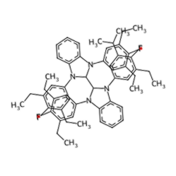 CCc1cc(N2c3ccccc3N(c3cc(CC)c(F)c(CC)c3)C2C2N(c3cc(CC)c(F)c(CC)c3)c3ccccc3N2c2cc(CC)c(F)c(C(C)C)c2)cc(CC)c1F